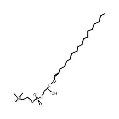 CCCCCCCCCCCCCCCC/C=C/OC[C@@H](O)COP(=O)([O-])OCC[N+](C)(C)C